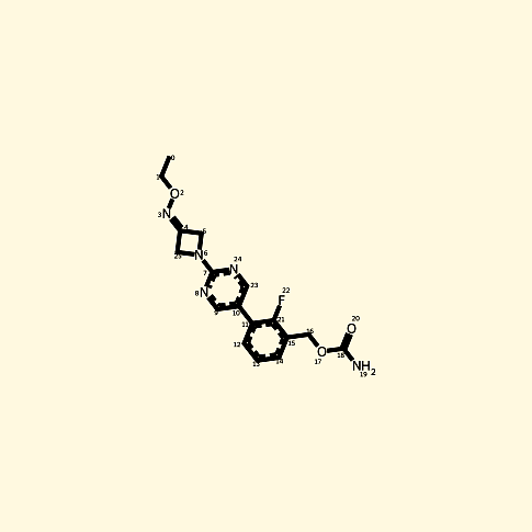 CCON=C1CN(c2ncc(-c3cccc(COC(N)=O)c3F)cn2)C1